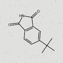 CC(C)(C)c1ccc2c(c1)C(=O)NC2=O